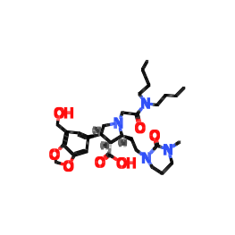 CCCCN(CCCC)C(=O)CN1C[C@H](c2cc(CO)c3c(c2)OCO3)[C@@H](C(=O)O)[C@@H]1CCN1CCCN(C)C1=O